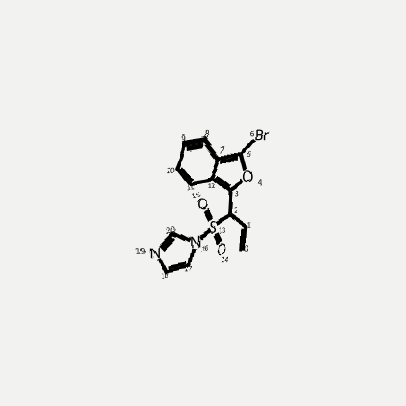 C=CC(c1oc(Br)c2ccccc12)S(=O)(=O)n1ccnc1